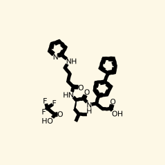 CC(C)C[C@@H](NC(=O)CCCNc1ccccn1)C(=O)NC(CC(=O)O)c1ccc(-c2ccccc2)cc1.O=C(O)C(F)(F)F